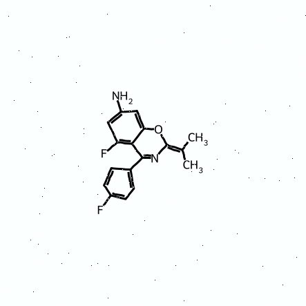 CC(C)=C1N=C(c2ccc(F)cc2)c2c(F)cc(N)cc2O1